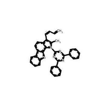 C=C/C=C\c1c(C)n(-c2nc(-c3ccccc3)nc(-c3ccccc3)n2)c2c1ccc1c3ccccc3sc12